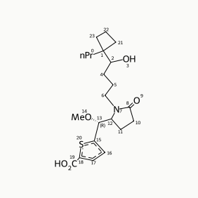 CCCC1(C(O)CCCN2C(=O)CCC2[C@@H](OC)c2ccc(C(=O)O)s2)CCC1